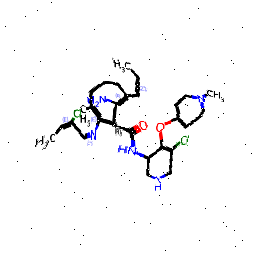 C/C=C\C1=C(\N)[C@@H](C(=O)NC2CNCC(Cl)C2OC2CCN(C)CC2)C(/N=C\C(Cl)=C/C)=C(/C)CCC1